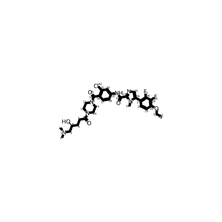 CN(C)C[C@H](O)CCC(=O)N1CCN(C(=O)c2ccc(NC(=O)c3ncc(-c4ccc(OCF)c(F)c4F)n3C)cc2Cl)CC1